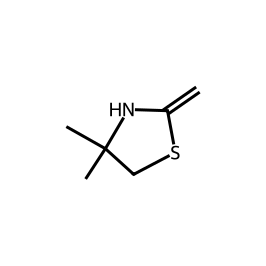 C=C1NC(C)(C)CS1